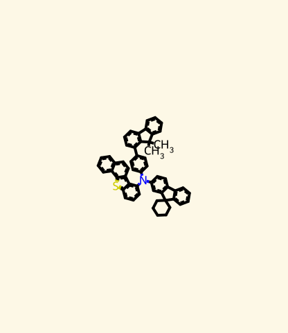 CC1(C)c2ccccc2-c2cccc(-c3ccc(N(c4ccc5c(c4)C4(CCCCC4)c4ccccc4-5)c4cccc5sc6c7ccccc7ccc6c45)cc3)c21